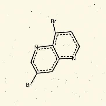 Brc1cnc2c(Br)ccnc2c1